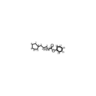 O=C(NCCCC1CCCCC1)Oc1ccccc1